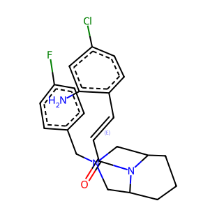 Nc1cc(Cl)ccc1/C=C/C(=O)N1C2CCCC1CN(Cc1ccc(F)cc1)C2